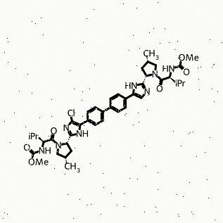 COC(=O)N[C@H](C(=O)N1C[C@@H](C)C[C@H]1c1ncc(-c2ccc(-c3ccc(-c4[nH]c([C@@H]5C[C@H](C)CN5C(=O)[C@@H](NC(=O)OC)C(C)C)nc4Cl)cc3)cc2)[nH]1)C(C)C